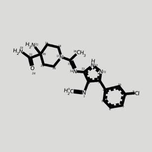 C=Nc1c(-c2cccc(Cl)c2)n[nH]c1/N=C(\C)N1CCC(N)(C(N)=O)CC1